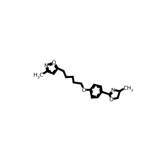 Cc1cc(CCCCCOc2ccc(C3=NC(C)CO3)cc2)on1